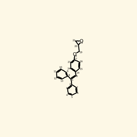 C(=C(c1ccccc1)c1ccccc1)c1ccc(OCC2CO2)cc1